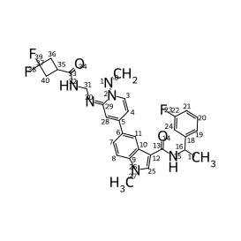 C=Nn1ccc(-c2ccc3c(c2)c(C(=O)NC(C)c2cccc(F)c2)cn3C)c/c1=N/CNC(=O)C1CC(F)(F)C1